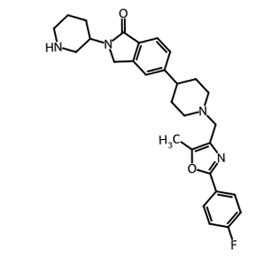 Cc1oc(-c2ccc(F)cc2)nc1CN1CCC(c2ccc3c(c2)CN(C2CCCNC2)C3=O)CC1